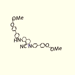 COCCOc1ccc(-c2ccc(/N=C3\CCC4CCC(Nc5ccc(-c6ccc(OCCOC)cc6)cc5)=CC4=C3C#N)cc2)cc1